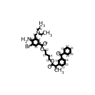 CCN(CC)Cc1cc(C(=O)OCCCCOC(=O)C(C)c2cccc(C(=O)c3ccccc3)c2)cc(Br)c1N